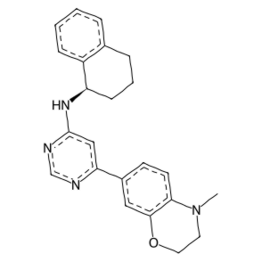 CN1CCOc2cc(-c3cc(N[C@@H]4CCCc5ccccc54)ncn3)ccc21